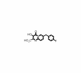 O=C(O)c1nc2ccc(Cc3ccc(F)cc3)cn2c(=O)c1O